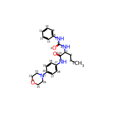 CCCC(NC(=O)Nc1ccccc1)C(=O)Nc1ccc(N2CCOCC2)cc1